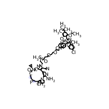 C=C1/C=C(F)\C=C/CC(=O)N(C2CC2)Cc2nn(CCN(C)C(=O)CCOCCOCCN3CCN(C(=O)N4C(c5ccc(C(C)(C)C)cc5OCC)=N[C@@](C)(c5ccc(Cl)cc5)[C@@]4(C)c4ccc(Cl)cc4)CC3)c(C#N)c2-c2cnc(N)c(c2)N2CCC[C@H]12